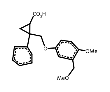 COCc1cc(OCC2(c3ccccc3)CC2C(=O)O)ccc1OC